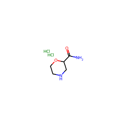 Cl.Cl.NC(=O)C1CNCCO1